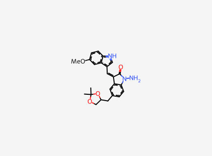 COc1ccc2[nH]cc(C=C3C(=O)N(N)c4ccc(CC5COC(C)(C)O5)cc43)c2c1